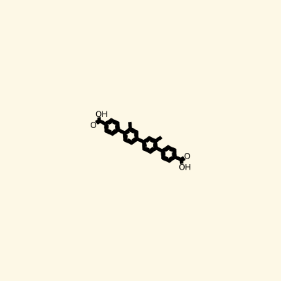 Cc1cc(-c2ccc(-c3ccc(C(=O)O)cc3)c(C)c2)ccc1-c1ccc(C(=O)O)cc1